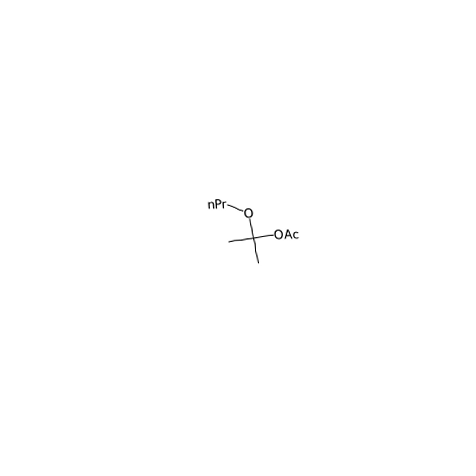 CCCOC(C)(C)OC(C)=O